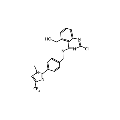 Cn1cc(C(F)(F)F)nc1-c1ccc(CNc2nc(Cl)nc3cccc(CO)c23)cc1